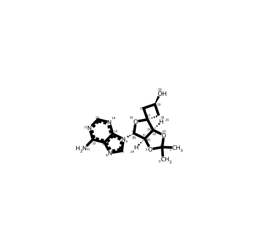 CC1(C)O[C@H]2[C@H](n3cnc4c(N)ncnc43)O[C@]3(C[C@H](O)C3)[C@H]2O1